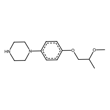 COC(C)COc1ccc(N2CCNCC2)cc1